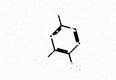 CCc1ccc(C#N)c(C)c1